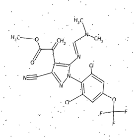 C=C(C(=O)OC)c1c(C#N)nn(-c2c(Cl)cc(OC(F)(F)F)cc2Cl)c1N=CN(C)C